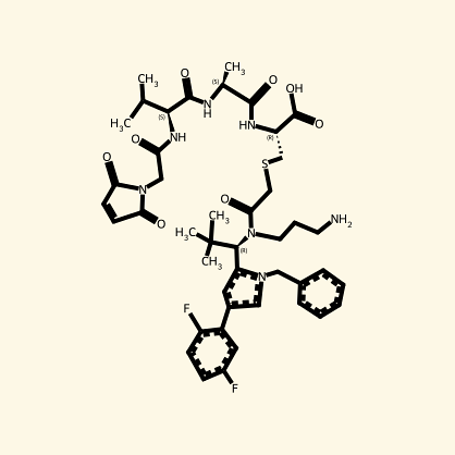 CC(C)[C@H](NC(=O)CN1C(=O)C=CC1=O)C(=O)N[C@@H](C)C(=O)N[C@@H](CSCC(=O)N(CCCN)[C@@H](c1cc(-c2cc(F)ccc2F)cn1Cc1ccccc1)C(C)(C)C)C(=O)O